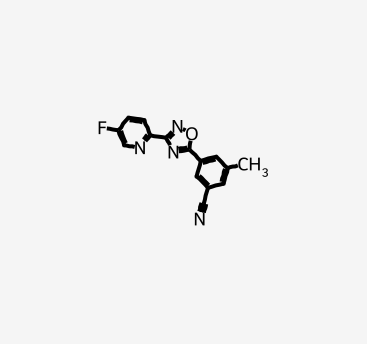 Cc1cc(C#N)cc(-c2nc(-c3ccc(F)cn3)no2)c1